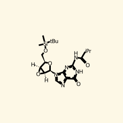 CC(C)C(=O)Nc1nc2c(ncn2[C@@H]2O[C@H](CO[Si](C)(C)C(C)(C)C)[C@@H]3O[C@@H]32)c(=O)[nH]1